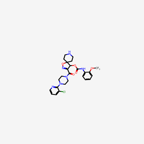 O=C(Nc1ccccc1OC(F)(F)F)OC1C(C(=O)N2CCN(c3ncccc3Cl)CC2)=NOC12CCNCC2